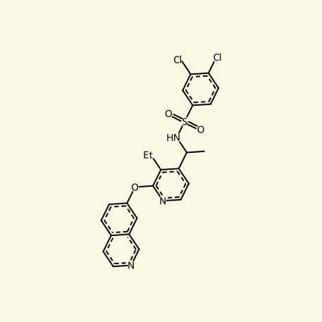 CCc1c(C(C)NS(=O)(=O)c2ccc(Cl)c(Cl)c2)ccnc1Oc1ccc2ccncc2c1